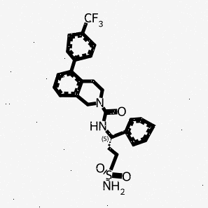 NS(=O)(=O)CC[C@H](NC(=O)N1CCc2c(cccc2-c2ccc(C(F)(F)F)cc2)C1)c1ccccc1